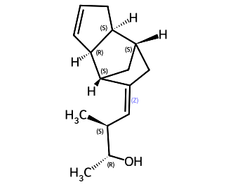 C[C@@H](O)[C@@H](C)/C=C1/C[C@@H]2C[C@H]1[C@H]1C=CC[C@@H]21